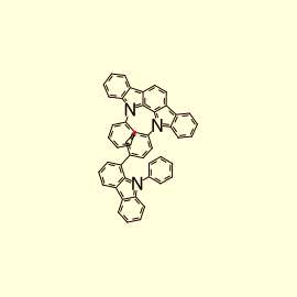 c1ccc(-n2c3ccccc3c3cccc(-c4ccc(-n5c6ccccc6c6ccc7c8ccccc8n(-c8ccccc8)c7c65)cc4)c32)cc1